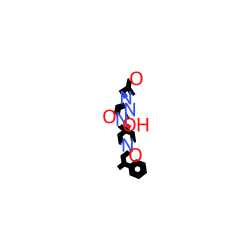 COCC1CN(c2cc(=O)n(CC3(O)CCN(C(=O)CC(C)c4ccccc4)CC3)cn2)C1